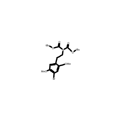 COc1cc(CCN(C(=O)OC(C)(C)C)C(=O)OC(C)(C)C)c(OC)cc1Br